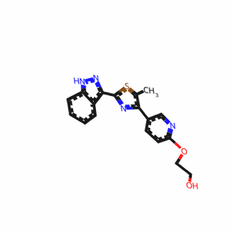 Cc1sc(-c2n[nH]c3ccccc23)nc1-c1ccc(OCCO)nc1